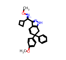 CO/N=C(/c1n[nH]c2c1C=CC(c1ccccc1)(c1ccc(OC)cc1)C2)C1CCC1